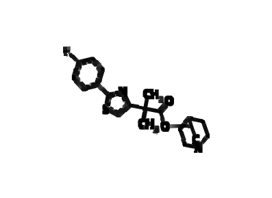 CC(C)(C(=O)OC1CN2CCC1CC2)c1csc(-c2ccc(F)cc2)n1